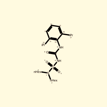 CCCCCCN(CCCCCC)S(=O)(=O)NC(=O)Nc1c(C(C)C)cccc1C(C)C